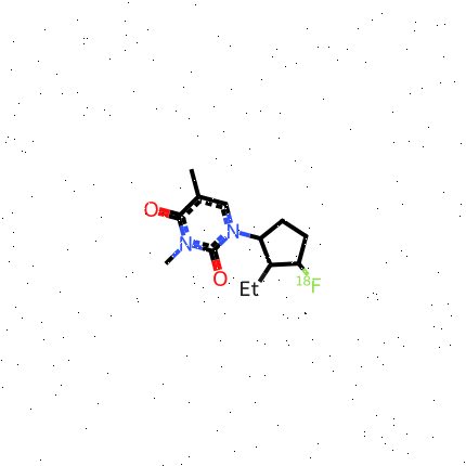 CCC1C([18F])CCC1n1cc(C)c(=O)n(C)c1=O